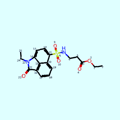 CCOC(=O)CCNS(=O)(=O)c1ccc2c3c(cccc13)C(=O)N2CC